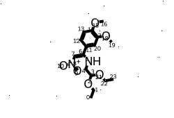 CCOC(CNC(=C[N+](=O)[O-])c1ccc(OC)c(OC)c1)OCC